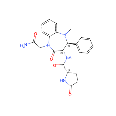 CN1c2ccccc2N(CC(N)=O)C(=O)[C@@H](NC(=O)[C@@H]2CCC(=O)N2)[C@@H]1c1ccccc1